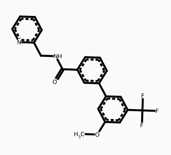 COc1cc(-c2cccc(C(=O)NCc3ccccn3)c2)cc(C(F)(F)F)c1